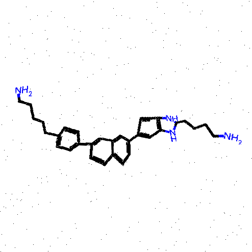 NCCCCCc1ccc(-c2ccc3ccc(-c4ccc5c(c4)NC(CCCCN)N5)cc3c2)cc1